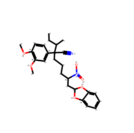 CCC(C)C(C#N)(CCCC(CC1Oc2ccccc2O1)[N+](=O)[O-])c1ccc(OC)c(OC)c1